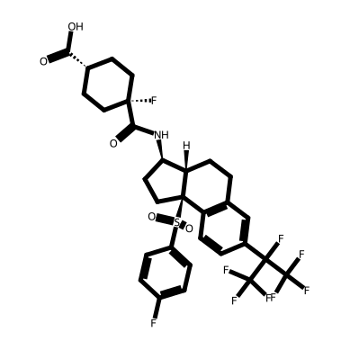 O=C(O)[C@H]1CC[C@](F)(C(=O)N[C@@H]2CC[C@@]3(S(=O)(=O)c4ccc(F)cc4)c4ccc(C(F)(C(F)(F)F)C(F)(F)F)cc4CC[C@@H]23)CC1